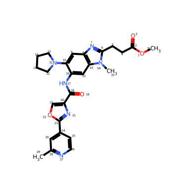 COC(=O)CCc1nc2cc(N3CCCC3)c(NC(=O)c3coc(-c4ccnc(C)c4)n3)cc2n1C